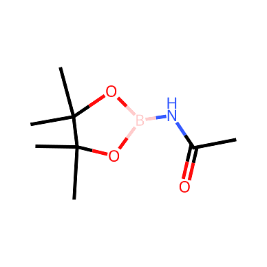 CC(=O)NB1OC(C)(C)C(C)(C)O1